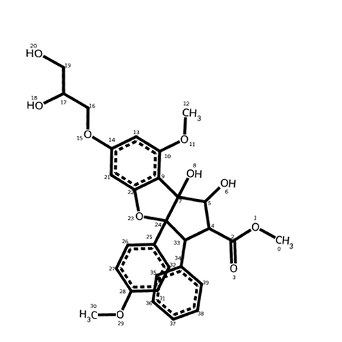 COC(=O)C1C(O)C2(O)c3c(OC)cc(OCC(O)CO)cc3OC2(c2ccc(OC)cc2)C1c1ccccc1